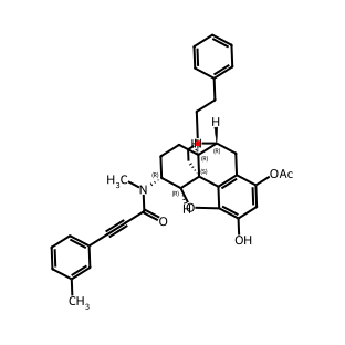 CC(=O)Oc1cc(O)c2c3c1C[C@@H]1[C@@H]4CC[C@@H](N(C)C(=O)C#Cc5cccc(C)c5)[C@H](O2)[C@]34CCN1CCc1ccccc1